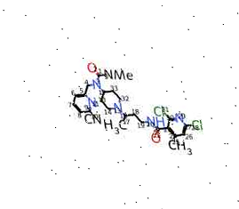 CNC(=O)N(Cc1cccc(C#N)n1)C1CCN(C(C)CCNC(=O)c2c(C)cc(Cl)nc2Cl)CC1